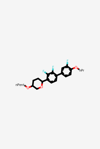 CCCCCOC1CCC(c2ccc(-c3ccc(OCCC)c(F)c3)c(F)c2F)OC1